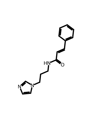 O=C(C=Cc1ccccc1)NCCCn1ccnc1